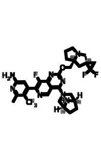 Cc1nc(N)cc(-c2ncc3c(N4C[C@H]5CC[C@@H](C4)N5)nc(OC[C@@]45CCCN4C[C@@]4(CC4(F)F)C5)nc3c2F)c1C(F)(F)F